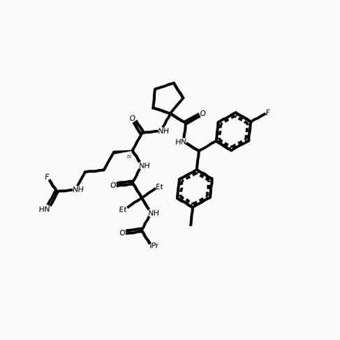 CCC(CC)(NC(=O)C(C)C)C(=O)N[C@@H](CCCNC(=N)F)C(=O)NC1(C(=O)NC(c2ccc(C)cc2)c2ccc(F)cc2)CCCC1